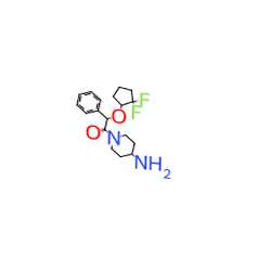 NC1CCN(C(=O)C(OC2CCCC2(F)F)c2ccccc2)CC1